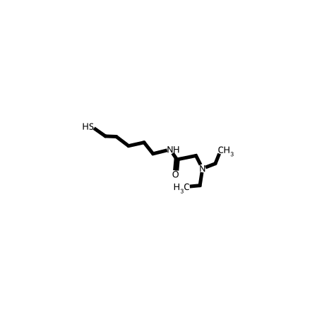 CCN(CC)CC(=O)NCCCCCS